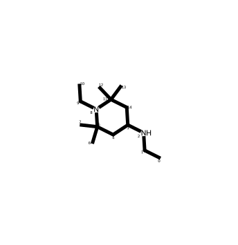 CCNC1CC(C)(C)N(CC)C(C)(C)C1